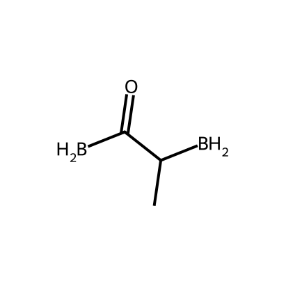 BC(=O)C(B)C